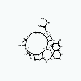 CONC(=O)O[C@H]1C=CCOC(C)(C)C(=O)NS(=O)(=O)c2ccc3c(c2)N(C[C@@H]2CC[C@H]21)C[C@@]1(CCCc2cc(Cl)ccc21)CO3